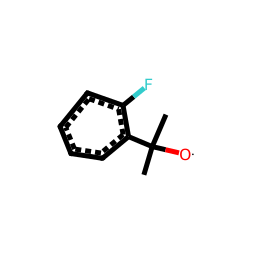 CC(C)([O])c1ccccc1F